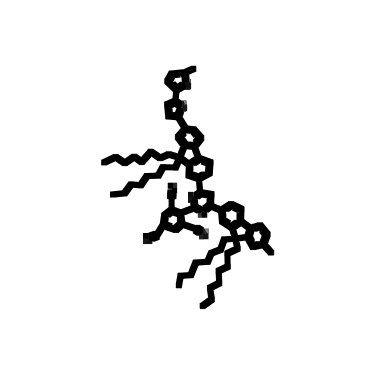 CCCCCCCCC1(CCCCCCCC)c2cc(C)ccc2-c2ccc(-c3cc(-c4ccc5c(c4)C(CCCCCCCC)(CCCCCCCC)c4cc(-c6ccc(-c7ccc(C)s7)s6)ccc4-5)nc(-c4c(C#N)cc(C#N)cc4C#N)n3)cc21